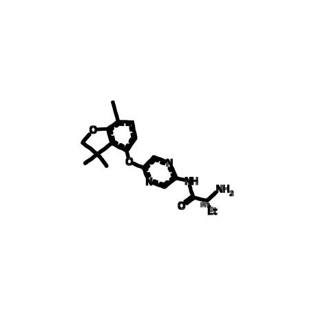 CC[C@@H](N)C(=O)Nc1cnc(Oc2ccc(C)c3c2C(C)(C)CO3)cn1